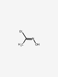 [CH2]CC(C)=NO